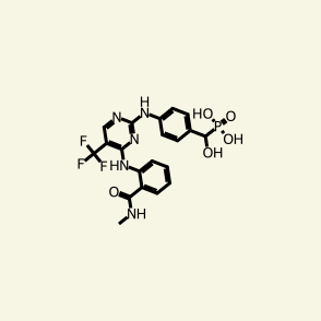 CNC(=O)c1ccccc1Nc1nc(Nc2ccc(C(O)P(=O)(O)O)cc2)ncc1C(F)(F)F